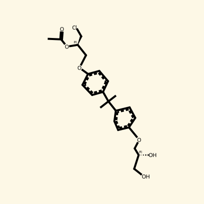 CC(=O)O[C@@H](CCl)COc1ccc(C(C)(C)c2ccc(OC[C@H](O)CO)cc2)cc1